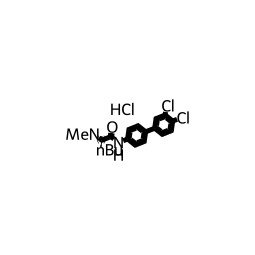 CCCC[C@H](NC)C(=O)Nc1ccc(-c2ccc(Cl)c(Cl)c2)cc1.Cl